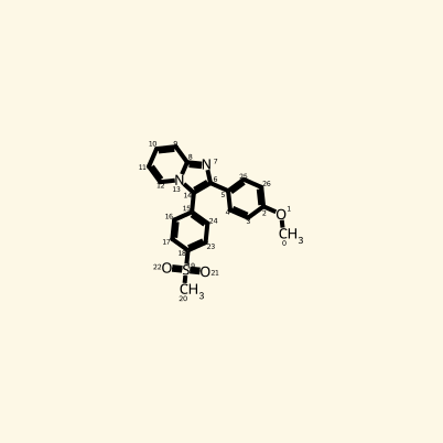 COc1ccc(-c2nc3ccccn3c2-c2ccc(S(C)(=O)=O)cc2)cc1